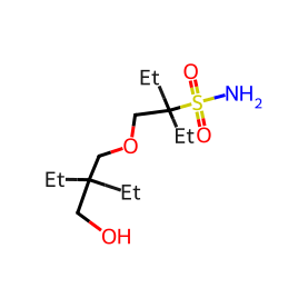 CCC(CC)(CO)COCC(CC)(CC)S(N)(=O)=O